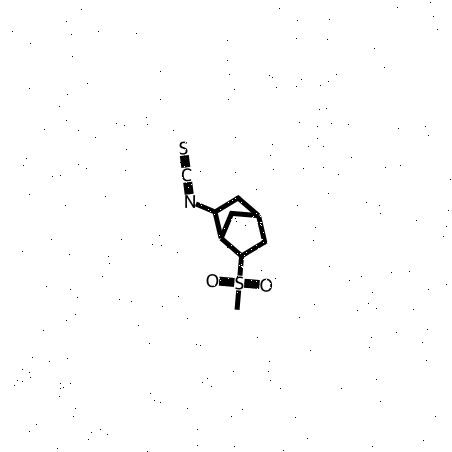 CS(=O)(=O)C1CC2CC(N=C=S)C1C2